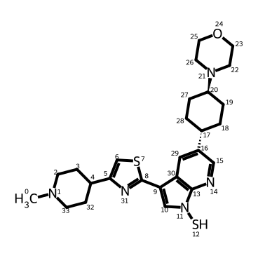 CN1CCC(c2csc(-c3cn(S)c4ncc([C@H]5CC[C@H](N6CCOCC6)CC5)cc34)n2)CC1